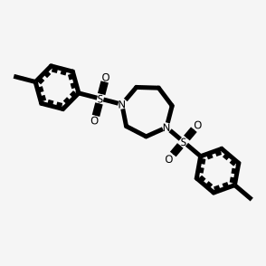 Cc1ccc(S(=O)(=O)N2CCCN(S(=O)(=O)c3ccc(C)cc3)CC2)cc1